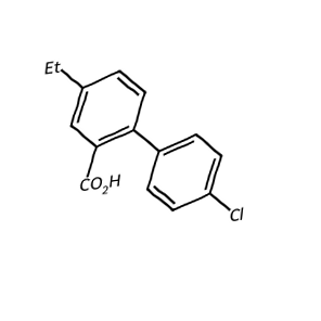 CCc1ccc(-c2ccc(Cl)cc2)c(C(=O)O)c1